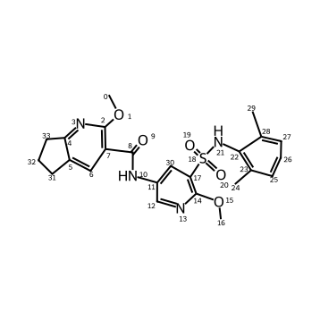 COc1nc2c(cc1C(=O)Nc1cnc(OC)c(S(=O)(=O)Nc3c(C)cccc3C)c1)CCC2